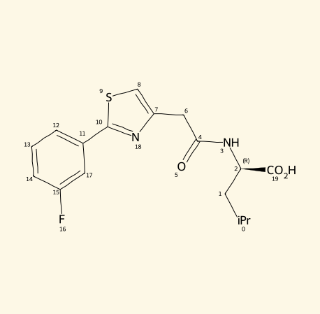 CC(C)C[C@@H](NC(=O)Cc1csc(-c2cccc(F)c2)n1)C(=O)O